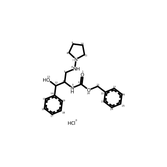 Cl.O=C(NC(CNN1CCCC1)C(O)c1ccccc1)OCc1ccccc1